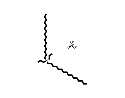 CCCCCCCCCCCCCCCC[N+](CCC)(CCC)CCCCCCCCCCCCCCCC.O=[N+]([O-])[O-]